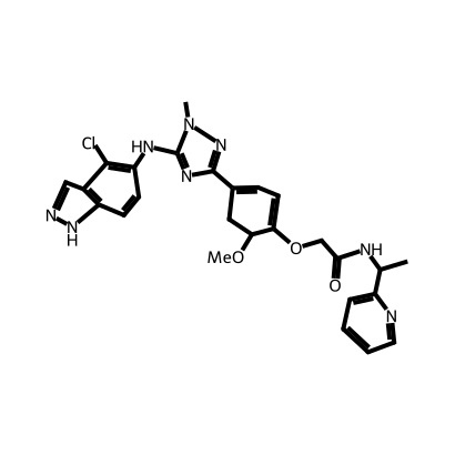 COC1CC(c2nc(Nc3ccc4[nH]ncc4c3Cl)n(C)n2)=CC=C1OCC(=O)NC(C)c1ccccn1